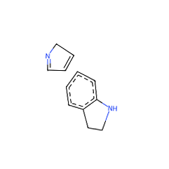 C1=CCN=C1.c1ccc2c(c1)CCN2